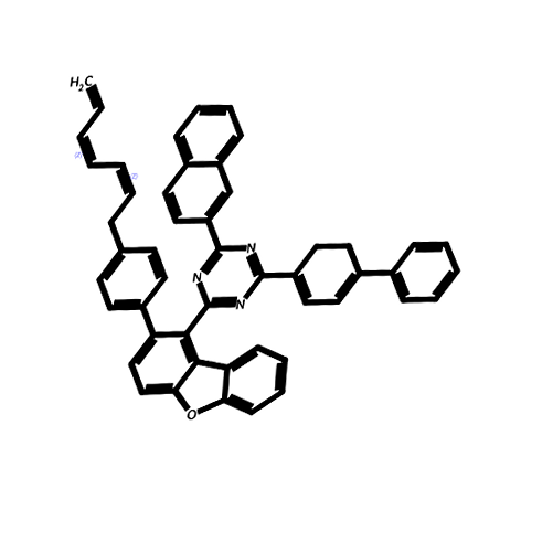 C=C/C=C\C=C/Cc1ccc(-c2ccc3oc4ccccc4c3c2-c2nc(C3=CC=C(c4ccccc4)CC3)nc(-c3ccc4ccccc4c3)n2)cc1